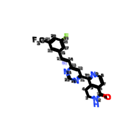 O=C1NCCc2c1ccnc2-c1cc(/C=C/c2cc(F)cc(C(F)(F)F)c2)ncn1